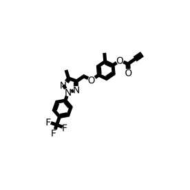 C#CC(=O)Oc1ccc(OCc2nn(-c3ccc(C(F)(F)F)cc3)nc2C)cc1C